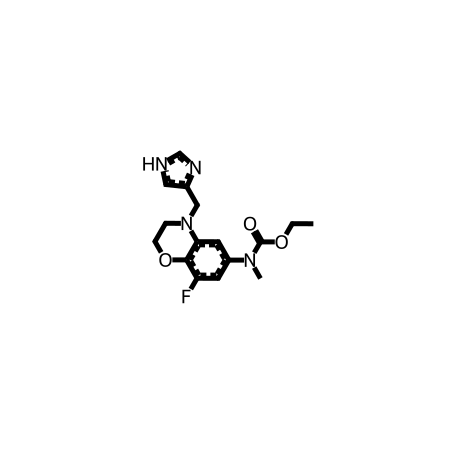 CCOC(=O)N(C)c1cc(F)c2c(c1)N(Cc1c[nH]cn1)CCO2